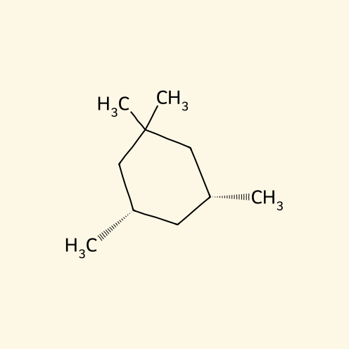 C[C@@H]1C[C@H](C)CC(C)(C)C1